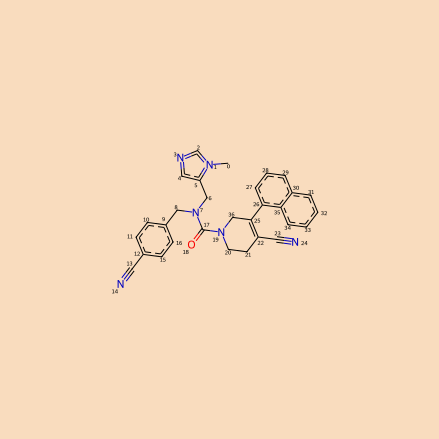 Cn1cncc1CN(Cc1ccc(C#N)cc1)C(=O)N1CCC(C#N)=C(c2cccc3ccccc23)C1